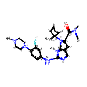 CC(C)N1CCN(c2ccc(Nc3ncc4cc(C(=O)N(C)C)n(C5(C(C)C)CCC5)c4n3)cc2F)CC1